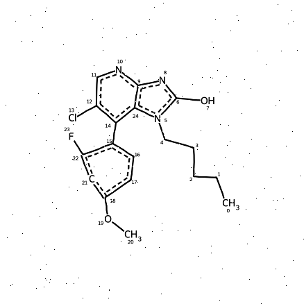 CCCCCn1c(O)nc2ncc(Cl)c(-c3ccc(OC)cc3F)c21